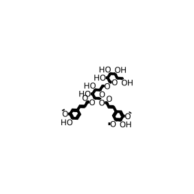 COc1cc(/C=C/C(=O)OC2C(OC(=O)/C=C/c3cc(OC)c(O)c(OC)c3)OC(COC3OC(CO)C(O)C(O)C3O)C(O)C2O)ccc1O